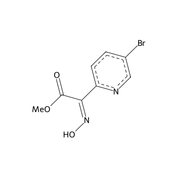 COC(=O)C(=NO)c1ccc(Br)cn1